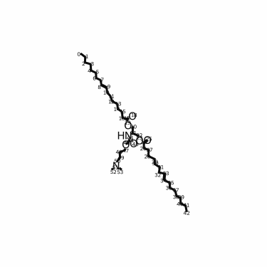 CCCCCCCCC=CCCCCCCCC(=O)OCC(COC(=O)CCCCCCCC=CCCCCCCCC)NC(=O)OCCCCN(C)C